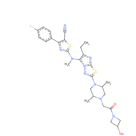 CCc1nc2sc(N3CC(C)N(CC(=O)N4CC(O)C4)CC3C)nn2c1N(C)c1nc(-c2ccc(F)cc2)c(C#N)s1